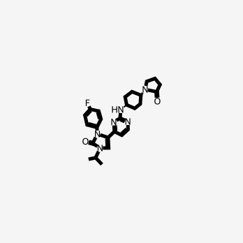 CC(C)n1cc(-c2ccnc(N[C@H]3CC[C@H](N4CCCC4=O)CC3)n2)n(-c2ccc(F)cc2)c1=O